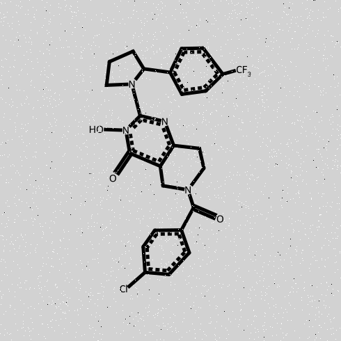 O=C(c1ccc(Cl)cc1)N1CCc2nc(N3CCCC3c3ccc(C(F)(F)F)cc3)n(O)c(=O)c2C1